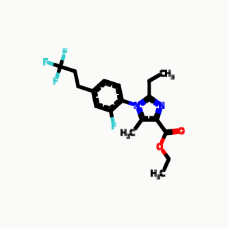 CCOC(=O)c1nc(CC)n(-c2ccc(CCC(F)(F)F)cc2F)c1C